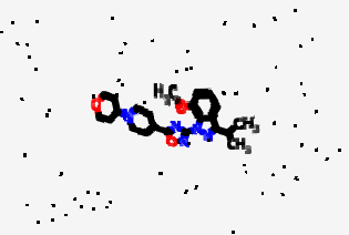 COc1cccc2c(C(C)C)nn(-c3noc(C4CCN(C5CCOCC5)CC4)n3)c12